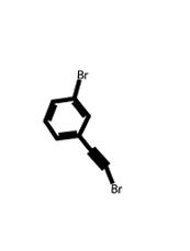 BrC#Cc1cccc(Br)c1